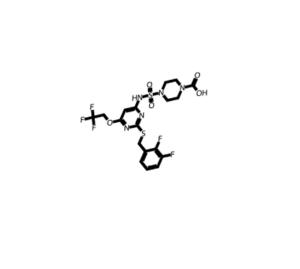 O=C(O)N1CCN(S(=O)(=O)Nc2cc(OCC(F)(F)F)nc(SCc3cccc(F)c3F)n2)CC1